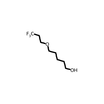 OCCCCCOCCC(F)(F)F